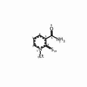 CCn1cccc(C(N)=O)c1=S